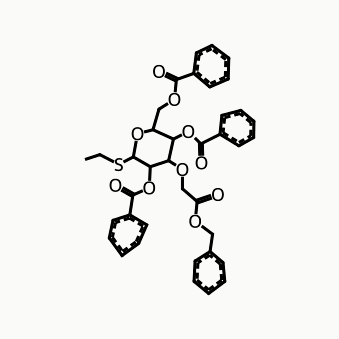 CCSC1OC(COC(=O)c2ccccc2)C(OC(=O)c2ccccc2)C(OCC(=O)OCc2ccccc2)C1OC(=O)c1ccccc1